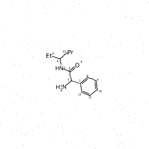 CCC(NC(=O)C(N)c1ccccc1)C(C)C